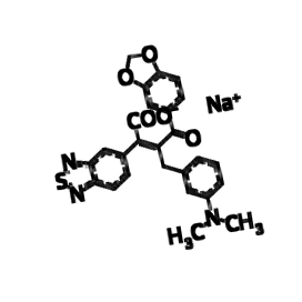 CN(C)c1cccc(CC(C(=O)c2ccc3c(c2)OCO3)=C(C(=O)[O-])c2ccc3nsnc3c2)c1.[Na+]